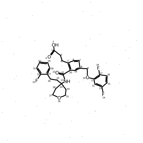 O=C(O)CCc1ccc(COc2cc(F)ccc2F)cc1C(=O)NC1(CCc2ccccc2F)CCOCC1